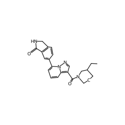 CCC1CCCN(C(=O)c2cnn3c(-c4ccc5c(c4)C(=O)NC5)cccc23)C1